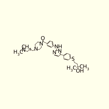 CN(C)CCCN1CCN(C(=O)c2ccc(Nc3nccc(-c4ccc(SCCC(C)(C)O)cc4)n3)cc2)CC1